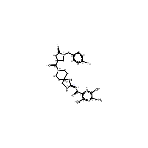 Nc1nc(N)c(C(=O)/N=C2\NCC3(CCN(C(=O)C4CC(=O)N(Cc5ccc(Cl)cc5)C4)CC3)N2)nc1Cl